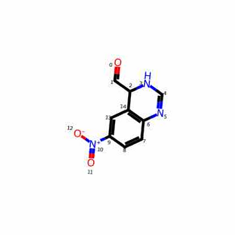 O=CC1NC=Nc2ccc([N+](=O)[O-])cc21